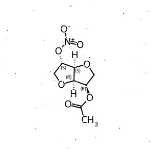 CC(=O)O[C@@H]1CO[C@H]2[C@@H]1OC[C@@H]2O[N+](=O)[O-]